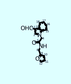 O=Cc1cn(CC(=O)NCc2ccco2)c2ccccc12